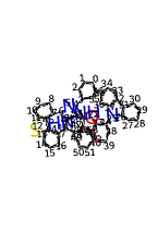 c1ccc(C2=NC(c3cccc4sc5cccc(-c6ccc7oc8c(-n9c%10ccccc%10c%10ccccc%109)cccc8c7c6)c5c34)NC(c3ccccc3)N2)cc1